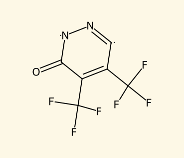 O=C1[N]N=[C]C(C(F)(F)F)=C1C(F)(F)F